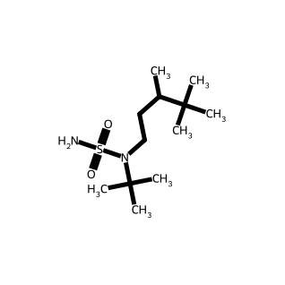 CC(CCN(C(C)(C)C)S(N)(=O)=O)C(C)(C)C